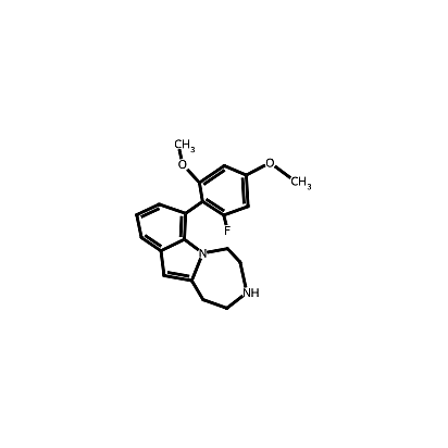 COc1cc(F)c(-c2cccc3cc4n(c23)CCNCC4)c(OC)c1